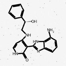 Nc1cccc2nc(-c3c(NC[C@@H](O)c4ccccc4)cc[nH]c3=O)[nH]c12